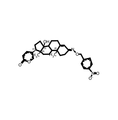 C[C@]12CCC(=NOCc3ccc([N+](=O)[O-])cc3)C=C1CCC1C2CC[C@]2(C)[C@@H](c3ccc(=O)oc3)CC[C@]12O